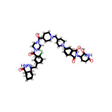 O=C1CCC(N2C(=O)c3ccc(N4CCC(CN5CCC(C(=O)N6CCN(C(=O)c7cc(Cc8n[nH]c(=O)c9ccccc89)ccc7F)CC6)CC5)CC4)cc3C2=O)C(=O)N1